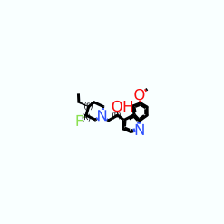 CC[C@H]1CCN(C[C@H](O)c2ccnc3ccc(OC)cc23)C[C@@H]1F